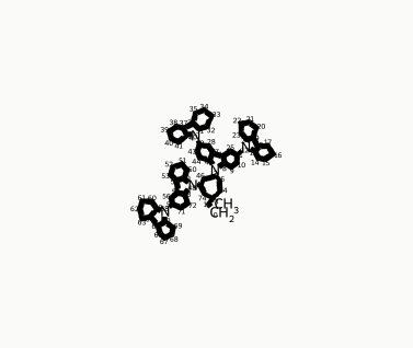 C=CC1(C)C=CC(n2c3ccc(-n4c5ccccc5c5ccccc54)cc3c3cc(-n4c5ccccc5c5ccccc54)ccc32)=CC(n2c3ccccc3c3cc(-n4c5ccccc5c5ccccc54)ccc32)=C1